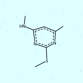 CNc1cc(C)nc(SC)n1